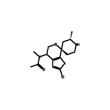 CC(=O)N(C)C1CO[C@@]2(CCN[C@@H](C)C2)c2sc(Cl)cc21